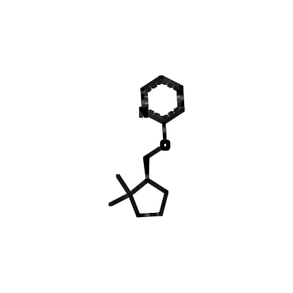 CC1(C)CCC[C@@H]1COc1ccccn1